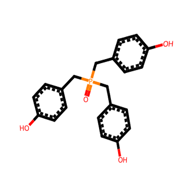 O=P(Cc1ccc(O)cc1)(Cc1ccc(O)cc1)Cc1ccc(O)cc1